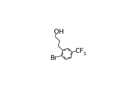 OCCCc1cc(C(F)(F)F)ccc1Br